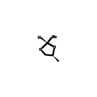 CC[C@@]1(C(C)(C)C)OC[C@@H](C)O1